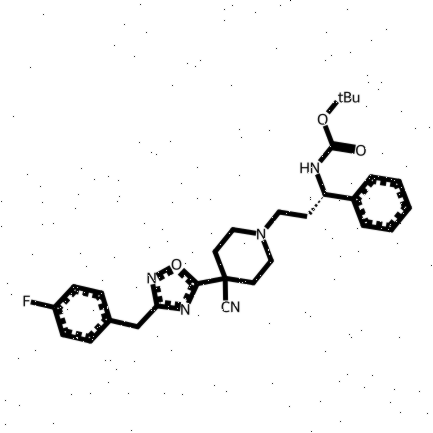 CC(C)(C)OC(=O)N[C@@H](CCN1CCC(C#N)(c2nc(Cc3ccc(F)cc3)no2)CC1)c1ccccc1